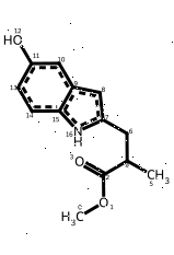 COC(=O)C(C)Cc1cc2cc(O)ccc2[nH]1